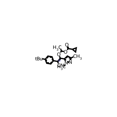 Cc1cc(/C(OC(C)OC(=O)C2CC2)=C(\C#N)c2ccc(C(C)(C)C)cc2)n(C)n1